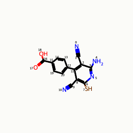 N#Cc1c(N)nc(S)c(C#N)c1-c1ccc(C(=O)O)cc1